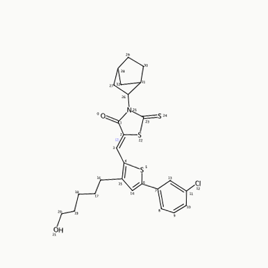 O=C1/C(=C/c2sc(-c3cccc(Cl)c3)cc2CCCCCO)SC(=S)N1C1CC2CCC1C2